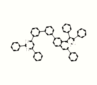 c1ccc(-c2cc(-c3cccc(-c4cccc(-c5ccc6cc(-c7ccccc7)n7nc(-c8ccccc8)c(-c8ccccc8)c7c6c5)c4)c3)nc(-c3ccccc3)n2)cc1